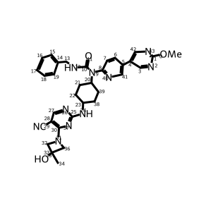 COc1ncc(-c2ccc(N(C(=O)NCc3ccccc3)C3CCC(Nc4ncc(C#N)c(N5CC(C)(O)C5)n4)CC3)nc2)cn1